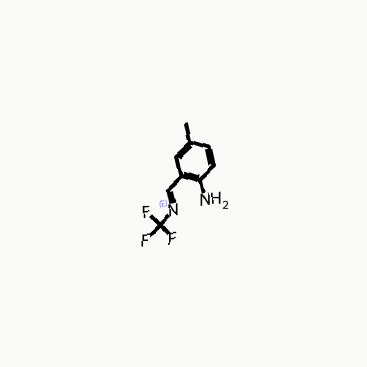 Cc1ccc(N)c(/C=N/C(F)(F)F)c1